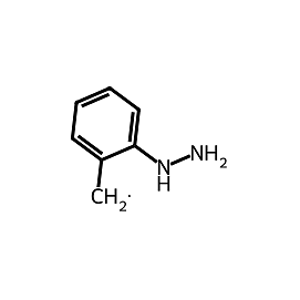 [CH2]c1ccccc1NN